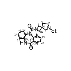 CCN1CCC2(C1)CN(C(=O)N1c3ccccc3NC(=O)c3cccnc31)C2